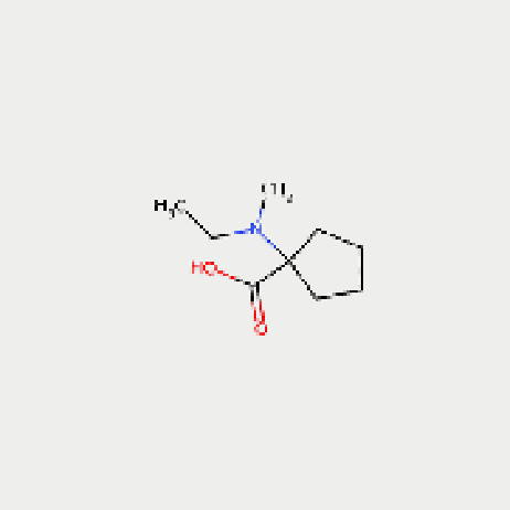 CCN(C)C1(C(=O)O)CCCC1